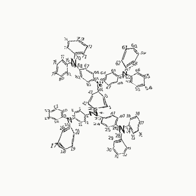 C1=CC(=[N+](c2ccc(N(c3ccccc3)c3ccccc3)cc2)c2ccc(N(c3ccccc3)c3ccccc3)cc2)C=CC1=[N+](c1ccc(N(c2ccccc2)c2ccccc2)cc1)c1ccc(N(c2ccccc2)c2ccccc2)cc1